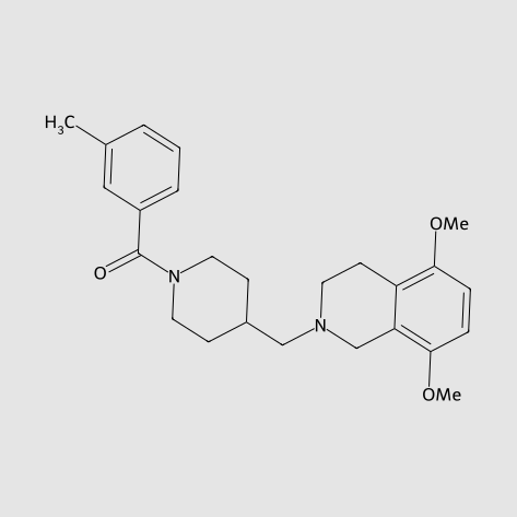 COc1ccc(OC)c2c1CCN(CC1CCN(C(=O)c3cccc(C)c3)CC1)C2